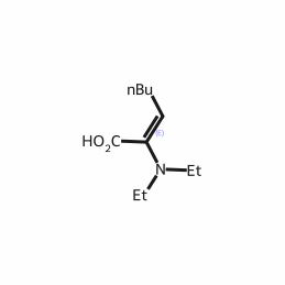 CCCC/C=C(\C(=O)O)N(CC)CC